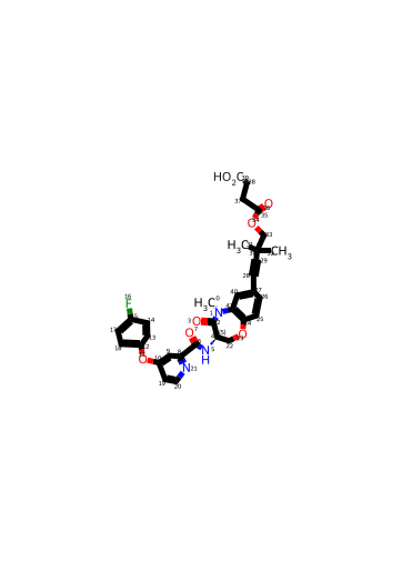 CN1C(=O)[C@@H](NC(=O)c2cc(Oc3ccc(F)cc3)ccn2)COc2ccc(C#CC(C)(C)COC(=O)CCC(=O)O)cc21